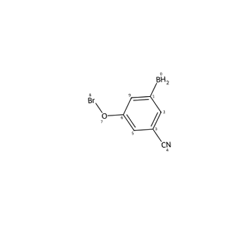 Bc1cc(C#N)cc(OBr)c1